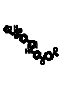 CC(=O)N1CCN(C(=O)c2ccc(Nc3nccc(-c4ccc(S(=O)(=O)NCc5ccco5)cc4)n3)cc2)CC1